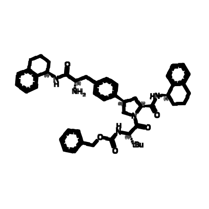 CC(C)(C)[C@H](NC(=O)OCc1ccccc1)C(=O)N1C[C@@H](c2ccc(C[C@H](N)C(=O)N[C@@H]3CCCc4ccccc43)cc2)C[C@H]1C(=O)N[C@@H]1CCCc2ccccc21